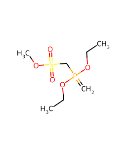 C=P(CS(=O)(=O)OC)(OCC)OCC